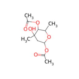 CC(=O)OC1CC(C)(O)C(OC(C)=O)C(C)O1